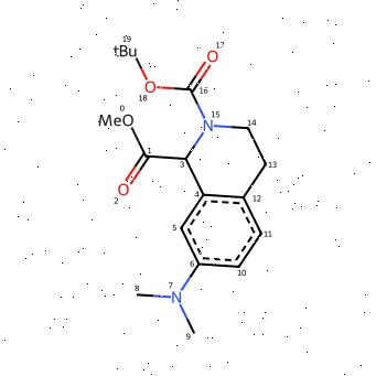 COC(=O)C1c2cc(N(C)C)ccc2CCN1C(=O)OC(C)(C)C